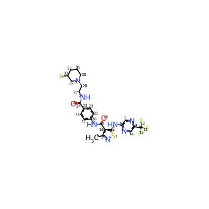 Cc1nsc(Nc2cnc(C(F)(F)F)cn2)c1C(=O)Nc1ccc(C(=O)NCCN2CCCC(F)C2)cc1